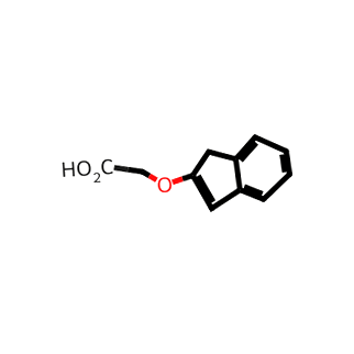 O=C(O)COC1=Cc2ccccc2C1